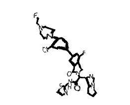 O=C(Nc1nccs1)C(c1ncn2c1CCC2)N1Cc2c(F)cc(-c3ccc(N4CCN(CCF)CC4)c(Cl)c3)cc2C1=O